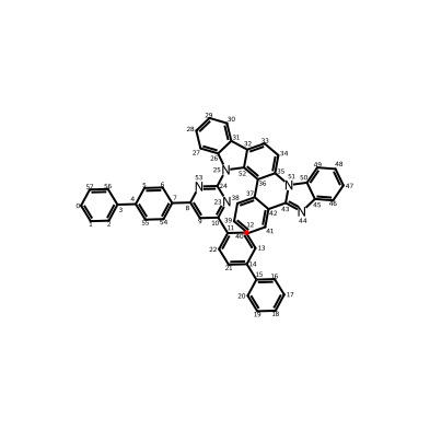 c1ccc(-c2ccc(-c3cc(-c4ccc(-c5ccccc5)cc4)nc(-n4c5ccccc5c5ccc6c(c7ccccc7c7nc8ccccc8n67)c54)n3)cc2)cc1